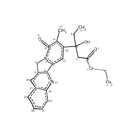 CCOC(=O)CC(O)(CC)c1cc2n(c(=O)c1C)Cc1cc3ccccc3nc1-2